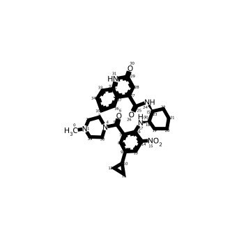 CN1CCN(C(=O)c2cc(C3CC3)cc([N+](=O)[O-])c2N[C@@H]2CCCC[C@@H]2NC(=O)c2cc(=O)[nH]c3ccccc23)CC1